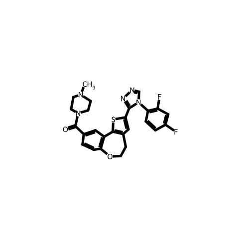 CN1CCN(C(=O)c2ccc3c(c2)-c2sc(-c4nncn4-c4ccc(F)cc4F)cc2CCO3)CC1